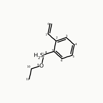 C=Cc1ccccc1[SiH2]OCC